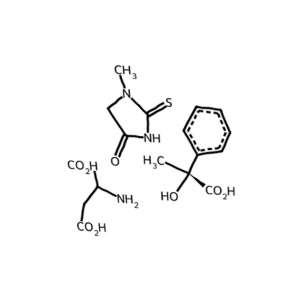 CN1CC(=O)NC1=S.C[C@](O)(C(=O)O)c1ccccc1.NC(CC(=O)O)C(=O)O